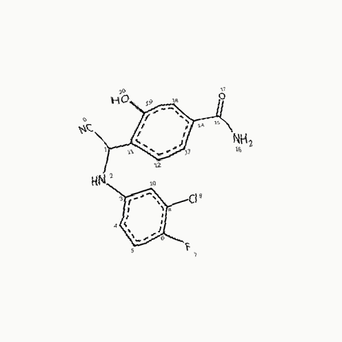 N#CC(Nc1ccc(F)c(Cl)c1)c1ccc(C(N)=O)cc1O